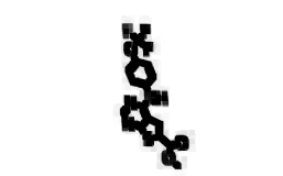 COC(=O)c1cc2c(Nc3ccc(OC(F)(F)F)cc3)ncnc2s1